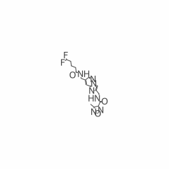 Cc1nonc1C(=O)NCc1cn2ncc(CNC(=O)CCCC(F)F)cc2n1